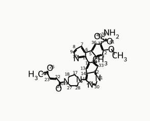 COc1ccc(-c2cccnc2-c2cc3c(N4CCN(C(=O)C=CC(C)=O)CC4)ncnc3cc2C)cc1S(N)(=O)=O